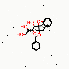 CC(Cc1ccccc1)(OCc1ccccc1)C(C)(O)C(O)C(O)C(O)CO